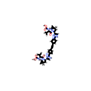 COC(=O)N[C@H](C(=O)N1[C@@H]2C[C@@H]2C[C@H]1c1cnc(-c2ccc(C#Cc3ccc(-c4ncc([C@@H]5C[C@H]6C[C@H]6N5C(=O)[C@@H](NC(=O)OC)C(C)C)[nH]4)cc3)cc2)[nH]1)C(C)C